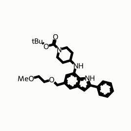 COCCOCc1cc(NC2CCN(C(=O)OC(C)(C)C)CC2)c2[nH]c(-c3ccccc3)cc2c1